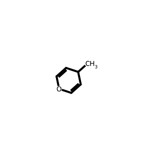 CC1C=COC=C1